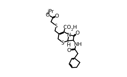 CC(C)OC(=O)CSCC1=C(C(=O)O)N2C(=O)C(NC(=O)CC3=CC=CCC3)[C@H]2SC1